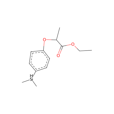 CCOC(=O)C(C)Oc1ccc([SiH](C)C)cc1